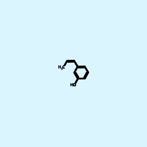 C/C=C\c1cccc(O)c1